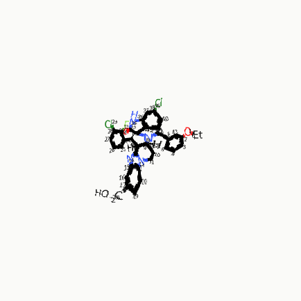 CCOc1cccc(CN2[C@@H]3CCn4c(nc5cc(C(=O)O)ccc54)[C@@H]3C(c3cccc(Cl)c3F)[C@@]23C(=O)Nc2cc(Cl)ccc23)c1